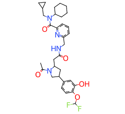 CC(=O)N1CC(c2ccc(OC(F)F)c(O)c2)CC1CC(=O)NCc1cccc(C(=O)N(CC2CC2)C2CCCCC2)n1